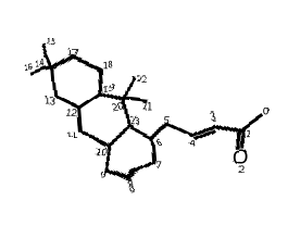 CC(=O)/C=C/CC1CCCC2CC3CC(C)(C)CCC3C(C)(C)C12